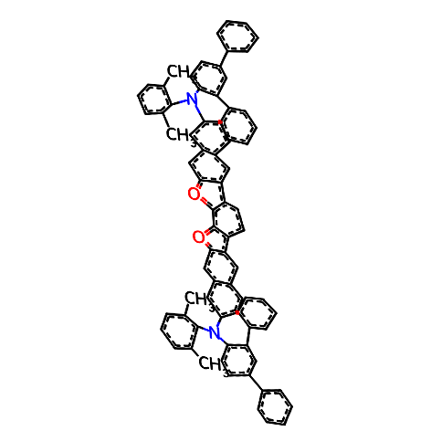 Cc1cccc(C)c1N(c1ccc2cc3c(cc2c1)oc1c3ccc2c3cc4ccc(N(c5ccc(-c6ccccc6)cc5-c5ccccc5)c5c(C)cccc5C)cc4cc3oc21)c1ccc(-c2ccccc2)cc1-c1ccccc1